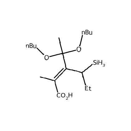 CCCCOC(C)(OCCCC)C(=C(C)C(=O)O)C([SiH3])CC